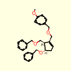 COc1ccc(COCC2=CC[C@H](OCc3ccccc3)[C@H]2COCc2ccccc2)cc1